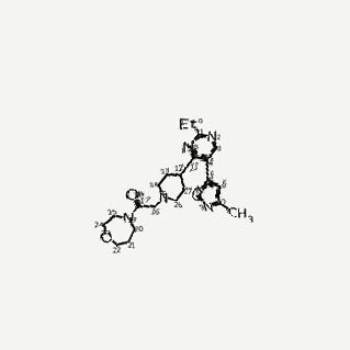 CCc1ncc(-c2cc(C)no2)c(C2CCN(CC(=O)N3CCCOCC3)CC2)n1